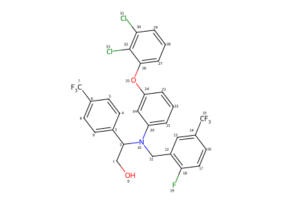 OCC(c1ccc(C(F)(F)F)cc1)N(Cc1cc(C(F)(F)F)ccc1F)c1cccc(Oc2cccc(Cl)c2Cl)c1